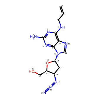 C=CCNc1nc(N)nc2c1ncn2[C@H]1C[C@@H](N=[N+]=[N-])[C@@H](CO)O1